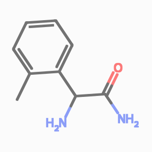 Cc1ccccc1C(N)C(N)=O